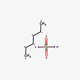 CCCCCC.O=S(=O)(I)I